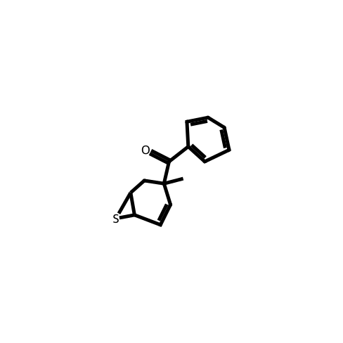 CC1(C(=O)c2ccccc2)C=CC2SC2C1